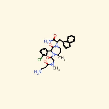 CC1CCN(C(Cc2cccc3ccccc23)C(N)=O)C(=O)C(c2cccc(Cl)c2)N1C(=O)CN(C)C(=O)CCN